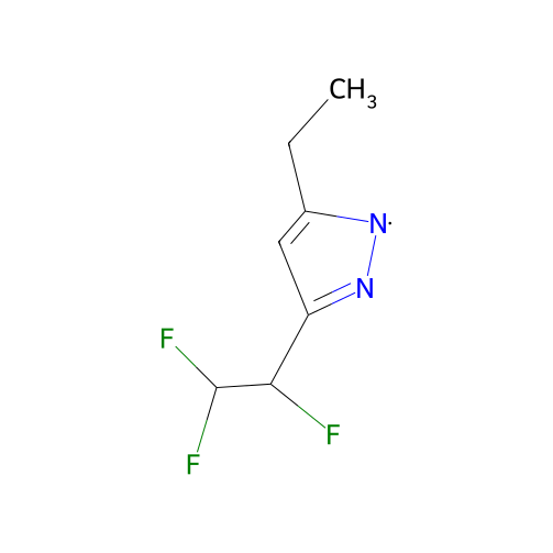 CCC1=CC(C(F)C(F)F)=N[N]1